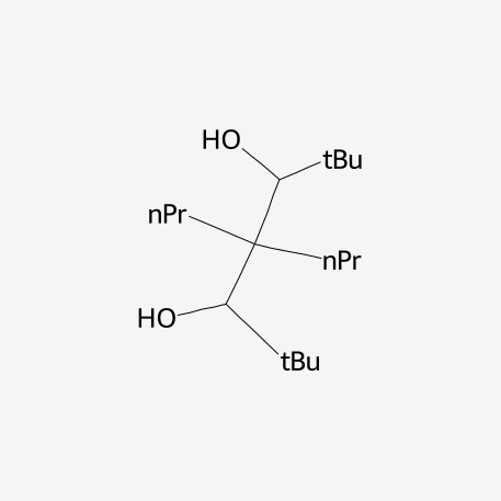 CCCC(CCC)(C(O)C(C)(C)C)C(O)C(C)(C)C